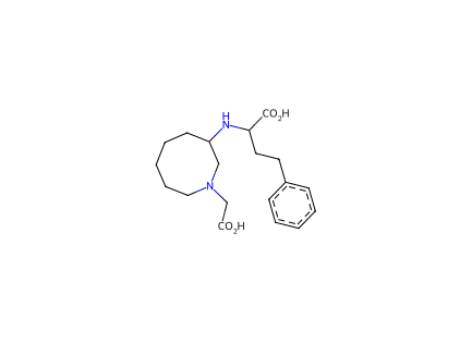 O=C(O)CN1CCCCCC(NC(CCc2ccccc2)C(=O)O)C1